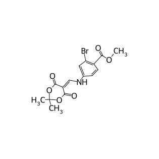 COC(=O)c1ccc(NC=C2C(=O)OC(C)(C)OC2=O)cc1Br